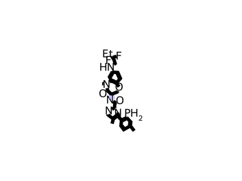 CCC(F)(F)CNc1ccc2c(c1)N(C)C(=O)/C(=N/C(=O)c1ncc(C)c(-c3ccc(C)cc3P)n1)CO2